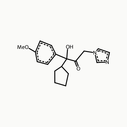 COc1ccc(C(O)(C(=O)Cn2ccnc2)C2CCCC2)cc1